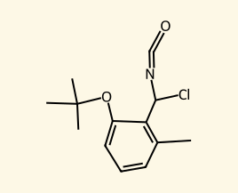 Cc1cccc(OC(C)(C)C)c1C(Cl)N=C=O